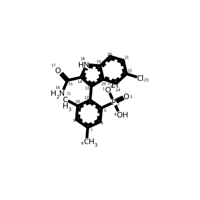 CCOP(=O)(O)c1cc(C)cc(C)c1-c1c(C(N)=O)[nH]c2ccc(Cl)cc12